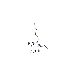 CCCCC/C(N)=C(\CC)N(C)N